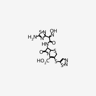 Nc1nc(/C(=N\O)C(=O)N[C@@H]2C(=O)N3C(C(=O)O)=C(Sc4cnns4)CSC23)ns1